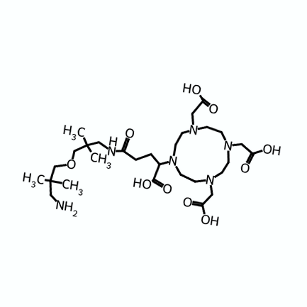 CC(C)(CN)COCC(C)(C)CNC(=O)CCC(C(=O)O)N1CCN(CC(=O)O)CCN(CC(=O)O)CCN(CC(=O)O)CC1